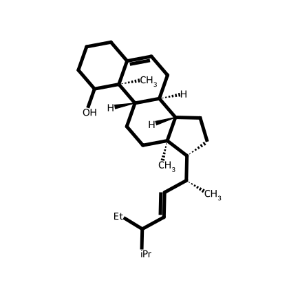 CCC(C=C[C@@H](C)[C@H]1CC[C@H]2[C@@H]3CC=C4CCCC(O)[C@]4(C)[C@H]3CC[C@]12C)C(C)C